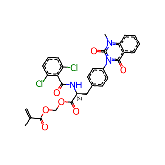 C=C(C)C(=O)OCOC(=O)[C@H](Cc1ccc(-n2c(=O)c3ccccc3n(C)c2=O)cc1)NC(=O)c1c(Cl)cccc1Cl